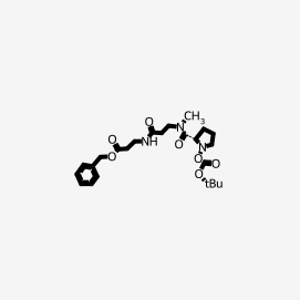 CN(CCC(=O)NCCC(=O)OCc1ccccc1)C(=O)[C@@H]1CCCN1OC(=O)OC(C)(C)C